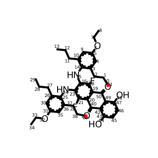 CCCc1cc(OCC)cc(CCC)c1Nc1c(F)c2c(c(F)c1Nc1c(CCC)cc(OCC)cc1CCC)C(=O)c1c(O)ccc(O)c1C2=O